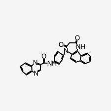 O=C1CC(=O)N(c2ccc(NC(=O)c3cnc4ccccc4n3)cc2)c2ccc3ccccc3c2N1